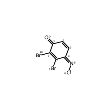 O=C1C=C/C(=N/Cl)C(Br)=C1Br